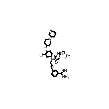 CCOC(=O)CS(=O)(=O)N(C/C=C/c1cccc(C(=N)N)c1)c1ccc(OC2CCN(c3cccnc3)CC2)c(Cl)c1.Cl.Cl